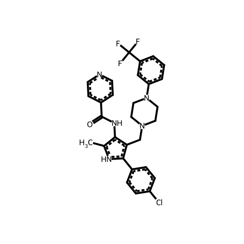 Cc1[nH]c(-c2ccc(Cl)cc2)c(CN2CCN(c3cccc(C(F)(F)F)c3)CC2)c1NC(=O)c1ccncc1